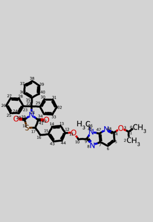 CC(C)Oc1ccc2nc(COc3ccc(CC4SC(=O)N(C(c5ccccc5)(c5ccccc5)c5ccccc5)C4=O)cc3)n(C)c2n1